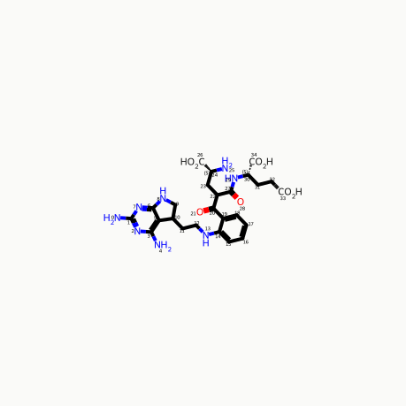 Nc1nc(N)c2c(n1)NCC2CCNc1ccccc1C(=O)C(C[C@H](N)C(=O)O)C(=O)N[C@@H](CCC(=O)O)C(=O)O